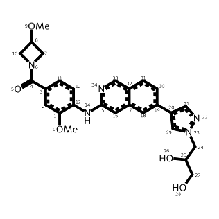 COc1cc(C(=O)N2CC(OC)C2)ccc1Nc1cc2cc(-c3cnn(CC(O)CO)c3)ccc2cn1